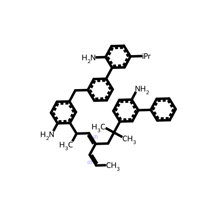 C/C=C\C(=C/C(C)c1cc(Cc2cccc(-c3cc(C(C)C)ccc3N)c2)ccc1N)CC(C)(C)c1ccc(N)c(-c2ccccc2)c1